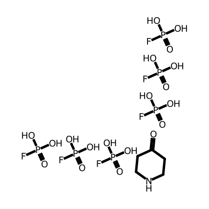 O=C1CCNCC1.O=P(O)(O)F.O=P(O)(O)F.O=P(O)(O)F.O=P(O)(O)F.O=P(O)(O)F.O=P(O)(O)F